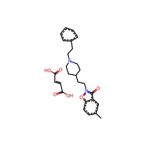 Cc1ccc2on(CCC3CCN(CCc4ccccc4)CC3)c(=O)c2c1.O=C(O)C=CC(=O)O